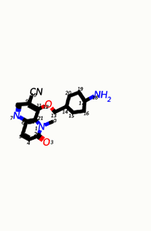 Cn1c(=O)ccc2ncc(C#N)c(OCC3CCC(N)CC3)c21